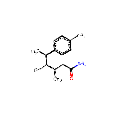 Cc1ccc(C(C)[C](C(C)C)C(C)CC(N)=O)cc1